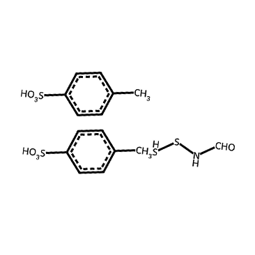 Cc1ccc(S(=O)(=O)O)cc1.Cc1ccc(S(=O)(=O)O)cc1.O=CNSS